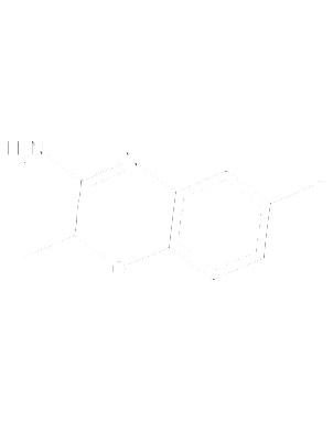 CC1Oc2ccc(F)cc2N=C1N